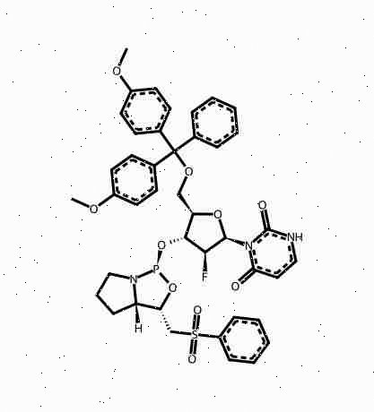 COc1ccc(C(OC[C@H]2O[C@@H](n3c(=O)cc[nH]c3=O)[C@@H](F)[C@@H]2O[P@@]2O[C@H](CS(=O)(=O)c3ccccc3)[C@@H]3CCCN32)(c2ccccc2)c2ccc(OC)cc2)cc1